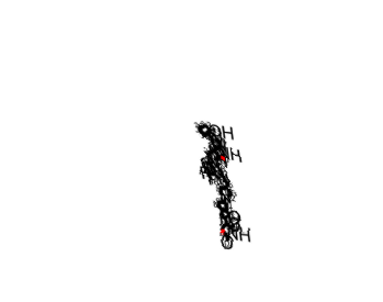 O=C1CCC(N2Cc3ccc(N4CCC(CN5CCN(C(=O)N6CCN7c8cc(-c9ccccc9O)nnc8NC[C@H]7C6)C(C(F)(F)F)C5)CC4)cc3C2=O)C(=O)N1